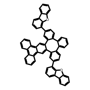 c1ccc2c(c1)-c1ccc(-c3cccc4c3oc3ccccc34)cc1-c1cc3c4ccccc4c4ccccc4c3cc1-c1cc(-c3cccc4c3oc3ccccc34)ccc1-2